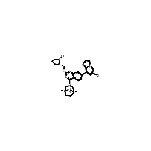 CN1CCC[C@H]1COc1nc(N2C[C@H]3CC[C@@H](C2)N3)c2ccc(-c3cc(Cl)cn4ccnc34)cc2n1